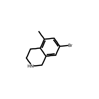 Cc1cc(Br)cc2c1CCNC2